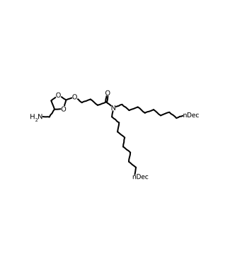 CCCCCCCCCCCCCCCCCCN(CCCCCCCCCCCCCCCCCC)C(=O)CCCOC1OCC(CN)O1